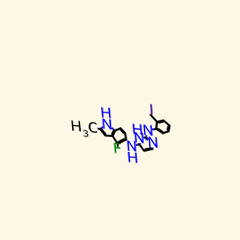 Cc1cc2c(F)c(Nc3ccnc(Nc4ccccc4CI)n3)ccc2[nH]1